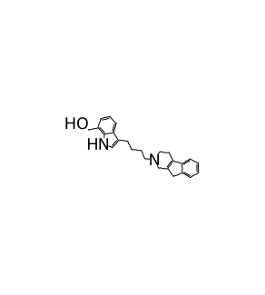 OCc1cccc2c(CCCCN3CCC4=C(Cc5ccccc54)C3)c[nH]c12